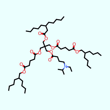 CCCCCC(CCCCC)CC(=O)OCC(COC(=O)CCCC(=O)OCC(CCCC)CCCC)(COC(=O)CCCC(=O)OCC(CCCC)CCCC)COC(=O)CCCN(CC)C(C)C